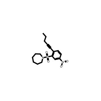 CCCC#Cc1ccc([N+](=O)[O-])cc1S(=O)(=O)N1CCCCCC1